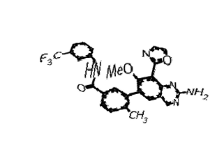 COc1c(-c2cc(C(=O)Nc3cccc(C(F)(F)F)c3)ccc2C)cc2cnc(N)nc2c1-c1ncco1